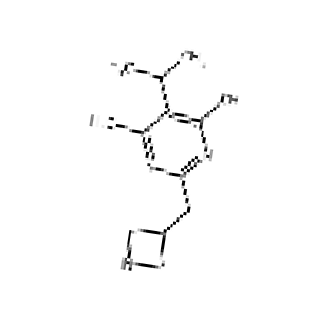 Cc1nc(CC2CNC2)nc(C)c1C(C)C